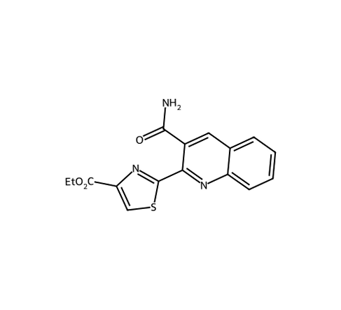 CCOC(=O)c1csc(-c2nc3ccccc3cc2C(N)=O)n1